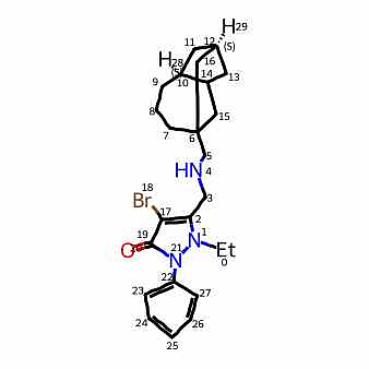 CCn1c(CNCC23CCC[C@H]4C[C@@H](CC4C2)C3)c(Br)c(=O)n1-c1ccccc1